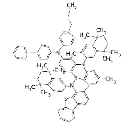 CCCCc1ccc(N(c2ccc(-c3ccccc3)cc2)c2ccc3c(c2)N(c2cc4c(cc2C)C(C)(C)CCC4(C)C)c2cc(C)cc4c2B3N(c2ccc3c(c2)C(C)(C)CCC3(C)C)c2c-4ccc3c2sc2ccccc23)cc1